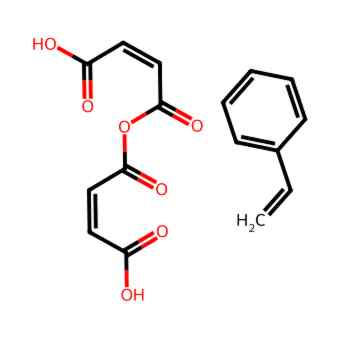 C=Cc1ccccc1.O=C(O)/C=C\C(=O)OC(=O)/C=C\C(=O)O